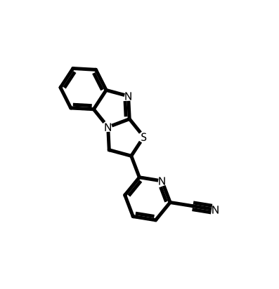 N#Cc1cccc(C2Cn3c(nc4ccccc43)S2)n1